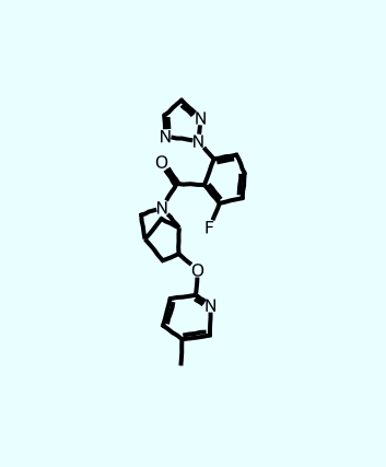 Cc1ccc(OC2CC3CC2N(C(=O)c2c(F)cccc2-n2nccn2)C3)nc1